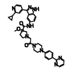 CO[C@@]1(C(=O)Nc2ccc3[nH]nc(-c4ccnc(C5CC5)c4)c3c2)CCN(CC(=O)N2CCN(c3ccc(-c4ncccn4)cc3)CC2)C1